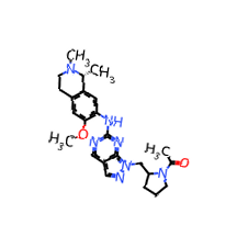 COc1cc2c(cc1Nc1ncc3cnn(CC4CCCN4C(C)=O)c3n1)[C@@H](C)N(C)CC2